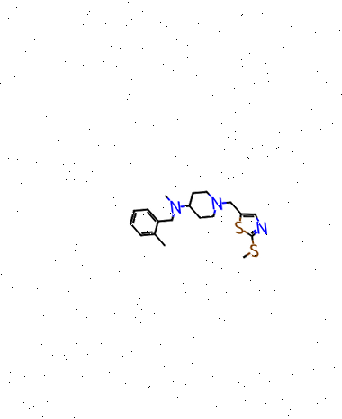 CSc1ncc(CN2CCC(N(C)Cc3ccccc3C)CC2)s1